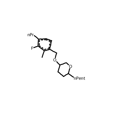 CCCCCC1CCC(OCc2ccc(CCC)c(F)c2C)CO1